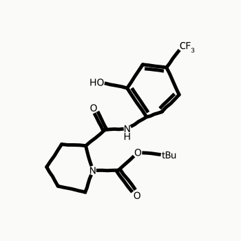 CC(C)(C)OC(=O)N1CCCCC1C(=O)Nc1ccc(C(F)(F)F)cc1O